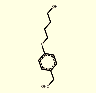 O=CCc1ccc(SCCCCO)cc1